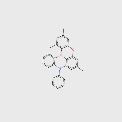 Cc1cc(C)c2c(c1)Oc1cc(C)cc3c1B2c1ccccc1N3c1ccccc1